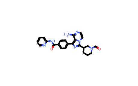 Nc1nccn2c(C3CCCN(C=O)C3)nc(-c3ccc(C(=O)Nc4ccccn4)cc3)c12